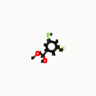 COC(=O)c1cc(F)[c]c(F)c1